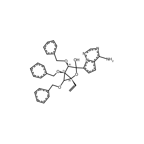 C=C[C@]12OC(O)(c3ccc4c(N)ncnn34)[C@H](OCc3ccccc3)[C@@]1(OCc1ccccc1)C2OCc1ccccc1